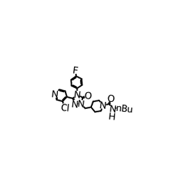 CCCCNC(=O)N1CCC(Cn2nc(-c3ccncc3Cl)n(-c3ccc(F)cc3)c2=O)CC1